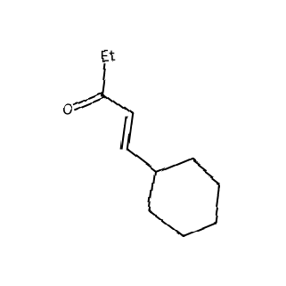 CCC(=O)C=CC1CCCCC1